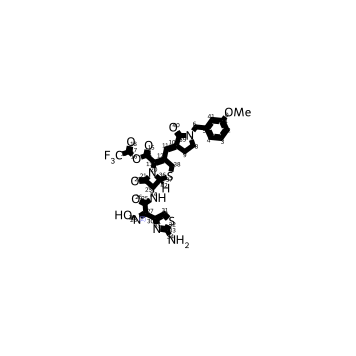 COc1cccc(CN2CCC(=CC3=C(C(=O)OC(=O)C(F)(F)F)N4C(=O)[C@@H](NC(=O)/C(=N\O)c5csc(N)n5)[C@H]4SC3)C2=O)c1